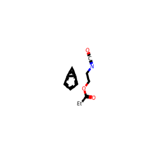 CCC(=O)OCCN=C=O.c1cc2cc-2c1